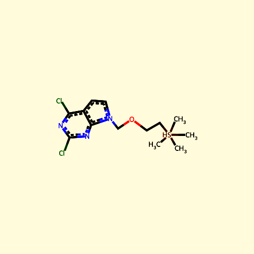 C[SH](C)(C)(C)CCOCn1ccc2c(Cl)nc(Cl)nc21